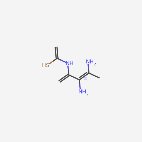 C=C(S)NC(=C)/C(N)=C(/C)N